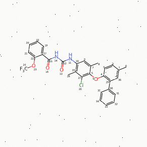 Cc1ccc(Oc2c(C)cc(NC(=O)NC(=O)c3ccccc3OC(F)(F)F)c(C)c2Cl)c(-c2ccccc2)c1